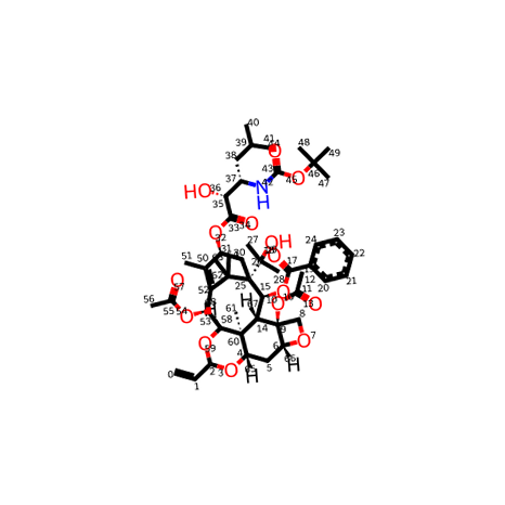 C=CC1O[C@H]2C[C@H]3OC[C@@]3(OC(C)=O)[C@H]3[C@H](OC(=O)c4ccccc4)[C@]4(C(C)(C)O)C[C@H](OC(=O)[C@H](O)[C@H](CC(C)C)NC(=O)OC(C)(C)C)C(C)=C([C@H](OC(C)=O)[C@H](O1)[C@]23C)C4(C)C